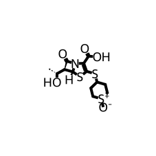 C[C@@H](O)[C@H]1C(=O)N2C(C(=O)O)=C(SC3CC[S+]([O-])CC3)S[C@H]12